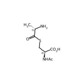 CC(=O)N[C@@H](CSC(=O)[C@H](C)N)C(=O)O